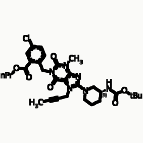 CC#CCn1c(N2CCC[C@@H](NC(=O)OC(C)(C)C)C2)nc2c1c(=O)n(Cc1ccc(Cl)cc1C(=O)OCCC)c(=O)n2C